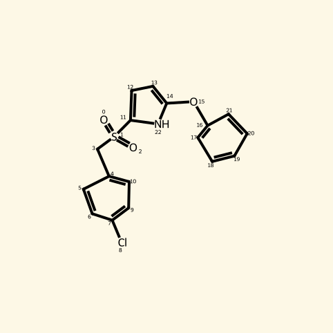 O=S(=O)(Cc1ccc(Cl)cc1)c1ccc(Oc2ccccc2)[nH]1